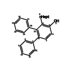 CCCCCCCc1c(O)ccc(-c2ccccc2)c1-c1ccccc1